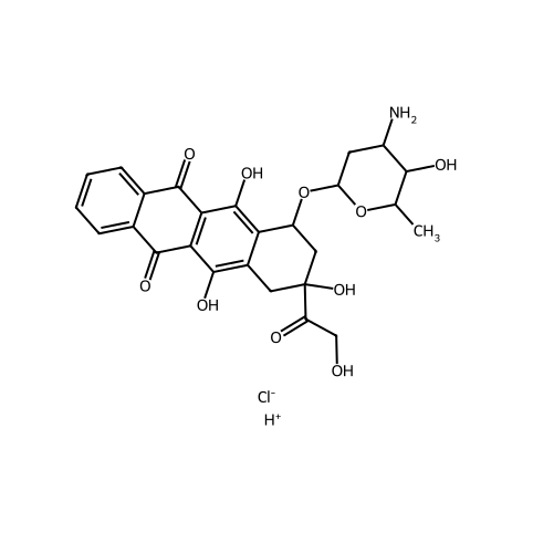 CC1OC(OC2CC(O)(C(=O)CO)Cc3c(O)c4c(c(O)c32)C(=O)c2ccccc2C4=O)CC(N)C1O.[Cl-].[H+]